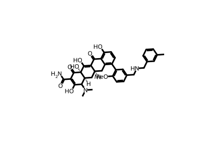 COc1ccc(CNCc2cccc(C)c2)cc1-c1ccc(O)c2c1C[C@H]1C[C@H]3C(N(C)C)C(O)=C(C(N)=O)C(=O)[C@@]3(O)C(O)=C1C2=O